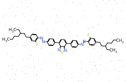 CCCCC(CC)CCc1ccc(/N=N/c2ccc(-c3ccc(-c4ccc(/N=N/c5ccc(CCC(CC)CCCC)cc5F)cc4)c4nsnc34)cc2)c(F)c1